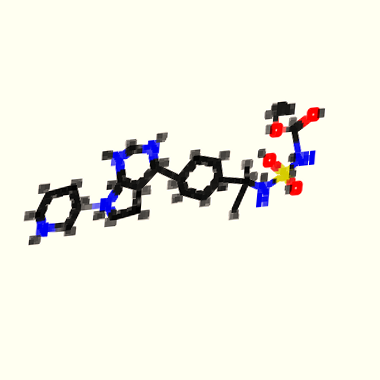 CC(C)(C)OC(=O)NS(=O)(=O)NC(C)(C)c1ccc(-c2ncnc3c2ccn3-c2cccnc2)cc1